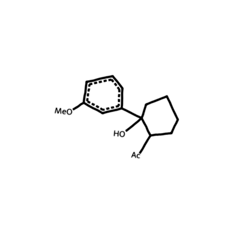 COc1cccc(C2(O)CCCCC2C(C)=O)c1